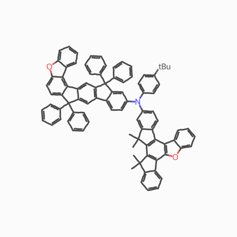 CC(C)(C)c1ccc(N(c2ccc3c(c2)C(C)(C)c2c4c(c5oc6ccccc6c5c2-3)-c2ccccc2C4(C)C)c2ccc3c(c2)C(c2ccccc2)(c2ccccc2)c2cc4c(cc2-3)C(c2ccccc2)(c2ccccc2)c2ccc3oc5ccccc5c3c2-4)cc1